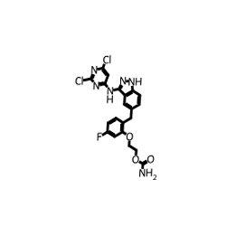 NC(=O)OCCOc1cc(F)ccc1Cc1ccc2[nH]nc(Nc3cc(Cl)nc(Cl)n3)c2c1